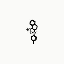 Cc1ccc(S(=O)(=O)C2CCc3ccccc3C2O)cc1